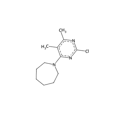 Cc1nc(Cl)nc(N2CCCCCC2)c1C